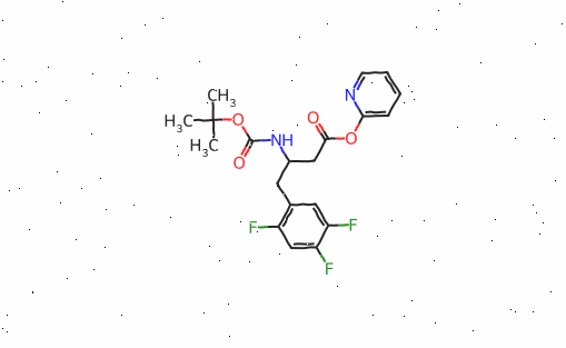 CC(C)(C)OC(=O)NC(CC(=O)Oc1ccccn1)Cc1cc(F)c(F)cc1F